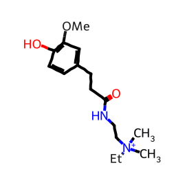 CC[N+](C)(C)CCNC(=O)CCc1ccc(O)c(OC)c1